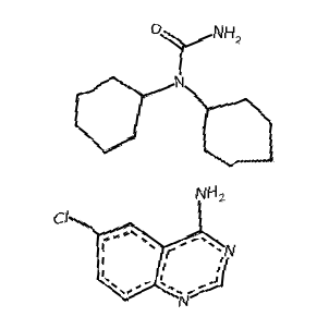 NC(=O)N(C1CCCCC1)C1CCCCC1.Nc1ncnc2ccc(Cl)cc12